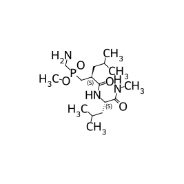 CNC(=O)[C@H](CC(C)C)NC(=O)[C@H](CC(C)C)CP(=O)(CN)OC